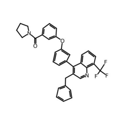 O=C(c1cccc(Oc2cccc(-c3c(Cc4ccccc4)cnc4c(C(F)(F)F)cccc34)c2)c1)N1CCCC1